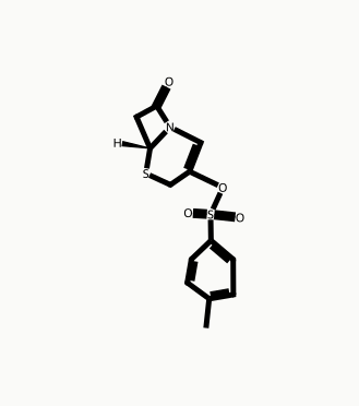 Cc1ccc(S(=O)(=O)OC2=CN3C(=O)C[C@H]3SC2)cc1